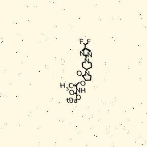 C[C@@H](COC1CCN(C2CCN(c3ncc(C(F)F)cn3)CC2)C1=O)NC(=O)OC(C)(C)C